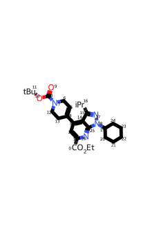 CCOC(=O)c1cc(C2=CCN(C(=O)OC(C)(C)C)CC2)c2c(C(C)C)nn(C3CCCCC3)c2n1